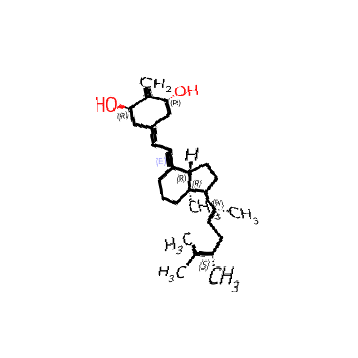 C=C1[C@H](O)CC(=C/C=C2\CCC[C@]3(C)C([C@H](C)CC[C@H](C)C(C)C)CC[C@@H]23)C[C@H]1O